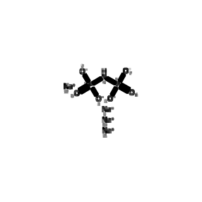 O=P([O-])([O-])NP(=O)([O-])[O-].[Na+].[Na+].[Na+].[Na+]